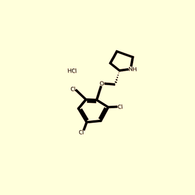 Cl.Clc1cc(Cl)c(OC[C@@H]2CCCN2)c(Cl)c1